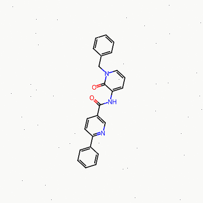 O=C(Nc1cccn(Cc2ccccc2)c1=O)c1ccc(-c2ccccc2)nc1